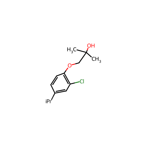 CC(C)c1ccc(OCC(C)(C)O)c(Cl)c1